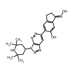 CC1(C)CC(n2nnc3cc(-c4cc5c(cc4O)/C(=N/O)CC5)nnc32)CC(C)(C)N1